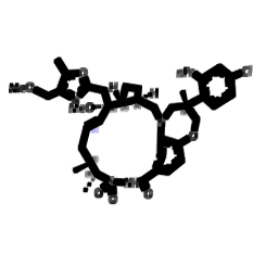 CCCc1cc(Cl)ccc1[C@]1(C)COc2ccc3cc2N(C[C@@H]2CC[C@H]2[C@@](Cc2nc(COC)c(C)o2)(OC)/C=C/C[C@H](C)[C@@H](C)S(=O)(=O)NC3=O)C1